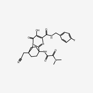 CN(C)C(=O)C(=O)NC12CCC(CC#N)(CC1)Cn1c2nc(C(=O)NCc2ccc(F)cc2)c(O)c1=O